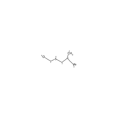 CC(C)C(C)CSC[O]